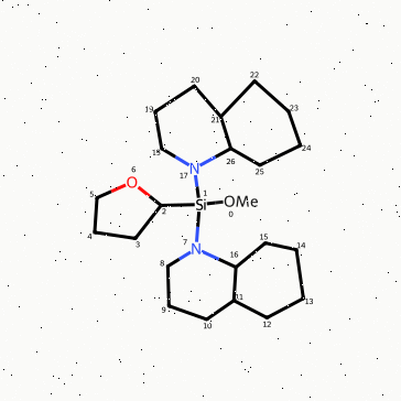 CO[Si](C1CCCO1)(N1CCCC2CCCCC21)N1CCCC2CCCCC21